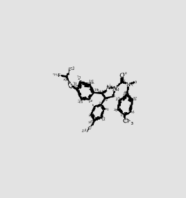 CN(C(=O)N1CC(c2ccc(F)cc2)C(c2ccc(OC(F)F)cc2)=N1)c1ccc(C(F)(F)F)cc1